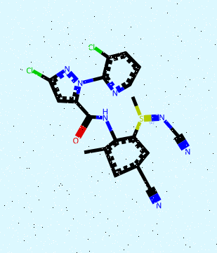 Cc1cc(C#N)cc(/S(C)=N\C#N)c1NC(=O)c1cc(Cl)nn1-c1ncccc1Cl